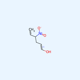 C=CC(C/C=C/O)[N+](=O)[O-]